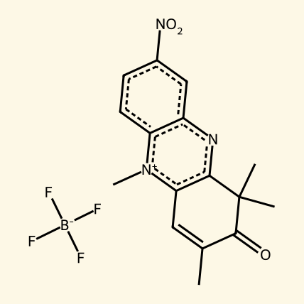 CC1=Cc2c(nc3cc([N+](=O)[O-])ccc3[n+]2C)C(C)(C)C1=O.F[B-](F)(F)F